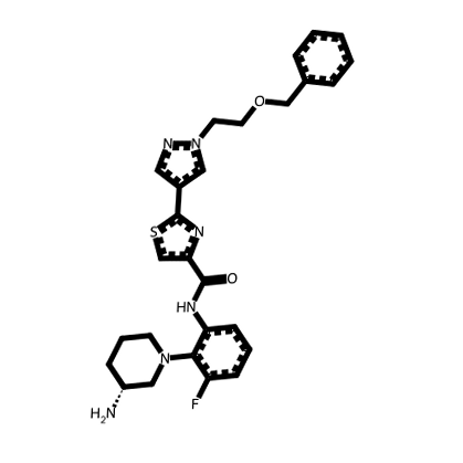 N[C@@H]1CCCN(c2c(F)cccc2NC(=O)c2csc(-c3cnn(CCOCc4ccccc4)c3)n2)C1